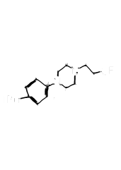 CC(C)(C)c1ccc(N2CCN(CCC(F)(F)F)CC2)cc1